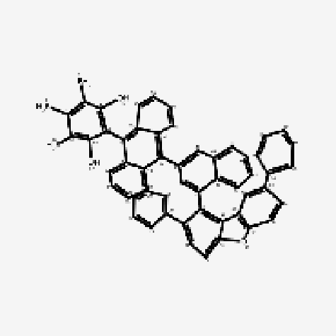 Bc1c(B)c(O)c(-c2c3ccccc3c(-c3cc(-c4c(-c5ccccc5)ccc5oc6ccc(-c7ccccc7)cc6c45)c4ccccc4c3)c3ccccc23)c(O)c1B